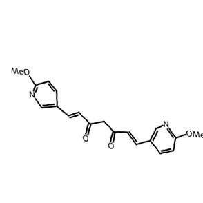 COc1ccc(/C=C/C(=O)CC(=O)/C=C/c2ccc(OC)nc2)cn1